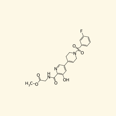 COC(=O)CNC(=O)c1ncc(C2=CCN(S(=O)(=O)c3cccc(F)c3)CC2)cc1O